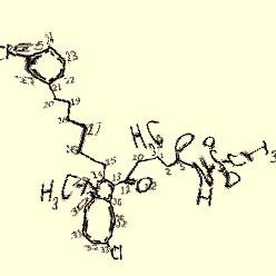 C[C@H](CC(=O)NS(C)(=O)=O)CC(=O)c1c(CCCCCCc2cccc(Cl)c2)n(C)c2ccc(Cl)cc12